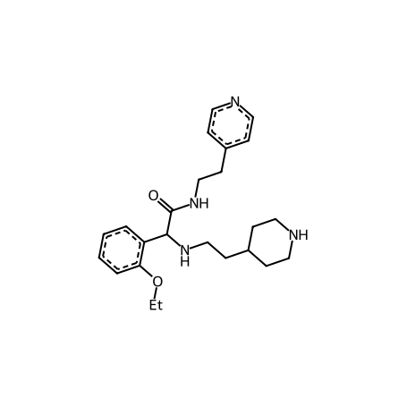 CCOc1ccccc1C(NCCC1CCNCC1)C(=O)NCCc1ccncc1